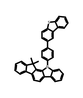 CC1(C)c2ccccc2-c2ccc3c4ccccc4n(-c4ccc(-c5ccc6sc7ccccc7c6c5)cc4)c3c21